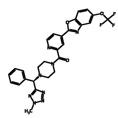 Cn1nnc([C@@H](c2ccccc2)N2CCN(C(=O)c3cc(-c4nc5cc(OC(F)(F)F)ccc5o4)ccn3)CC2)n1